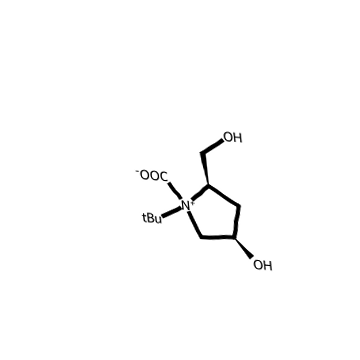 CC(C)(C)[N+]1(C(=O)[O-])C[C@H](O)C[C@@H]1CO